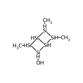 C[SiH]1[SiH](C)[SiH]2[SiH](O)[SiH](C)[SiH]12